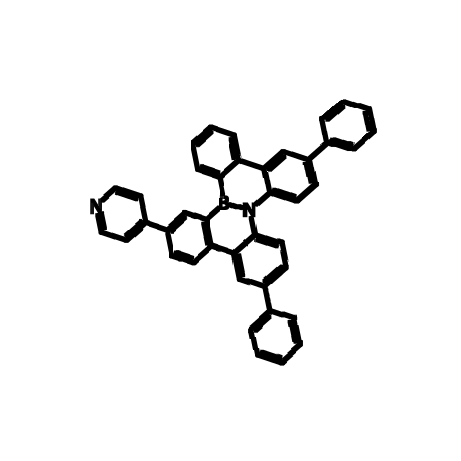 c1ccc(-c2ccc3c(c2)-c2ccccc2B2c4cc(-c5ccncc5)ccc4-c4cc(-c5ccccc5)ccc4N23)cc1